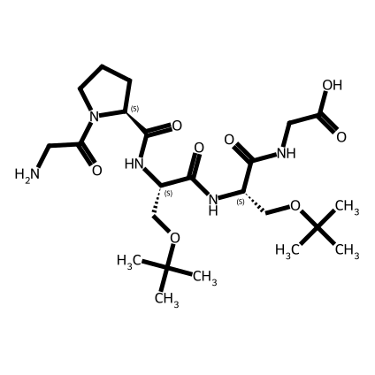 CC(C)(C)OC[C@H](NC(=O)[C@H](COC(C)(C)C)NC(=O)[C@@H]1CCCN1C(=O)CN)C(=O)NCC(=O)O